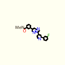 CNC(=O)c1cccc(-c2cnn3c(-c4ccnc(-c5cccc(F)c5)c4)cnc3c2)c1